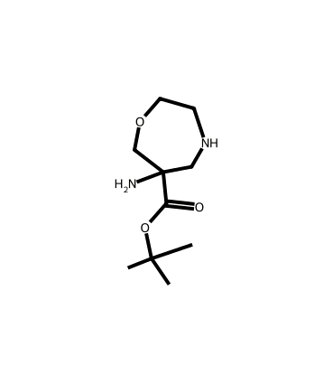 CC(C)(C)OC(=O)C1(N)CNCCOC1